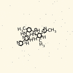 [2H]c1nc(Nc2cc(C(=O)Nc3c([2H])c(C)c([2H])c(-n4cnc(C)c4)c3[2H])ccc2C)nc(-c2cccnc2)c1[2H]